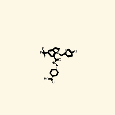 O=C(NC[C@H]1CC[C@H](C(=O)O)CC1)c1cc(C(F)(F)F)cc2ccn(Cc3ccc(Cl)cn3)c12